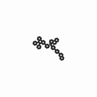 c1ccc(-c2c(-c3ccccc3)c3cc(-c4cccc(N(c5ccc(-c6ccc(-c7ccc8ccccc8c7)cc6)cc5)c5cccc6c5ccc5ccccc56)c4)ccc3c3ccccc23)cc1